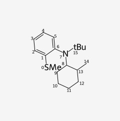 CSc1ccccc1N(C1CCCCC1C)C(C)(C)C